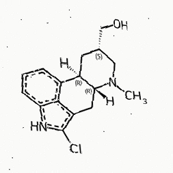 CN1C[C@@H](CO)C[C@@H]2c3cccc4[nH]c(Cl)c(c34)C[C@H]21